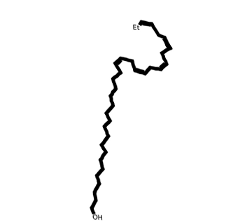 CC/C=C\C/C=C\C/C=C\C/C=C\C/C=C\CCCCCCCCCCCCCCCCCCO